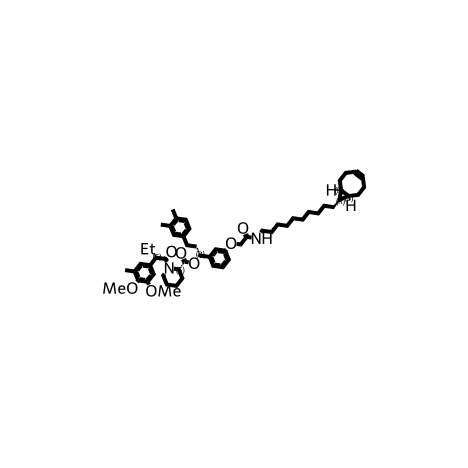 CC[C@H](C(=O)N1CCCC[C@H]1C(=O)O[C@H](CCc1ccc(C)c(C)c1)c1cccc(OCC(=O)NCCCCCCCCCC[C@@H]2[C@@H]3CCC#CCC[C@@H]32)c1)c1cc(C)c(OC)c(OC)c1